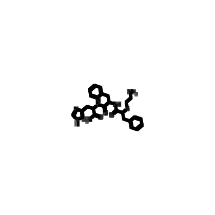 NCCSC(Cc1ccccc1)C(=O)NC(Cc1ccccc1)C(=O)NC(Cc1c[nH]cn1)C(N)=O